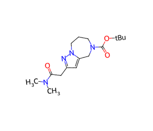 CN(C)C(=O)Cc1cc2n(n1)CCCN(C(=O)OC(C)(C)C)C2